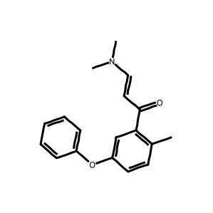 Cc1ccc(Oc2ccccc2)cc1C(=O)/C=C/N(C)C